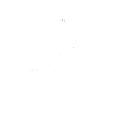 COc1cc(F)ccc1Oc1cc(Cl)ccc1C(=O)Nc1cc[nH]c(=O)c1